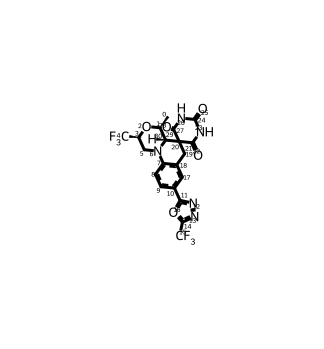 C[C@@H]1O[C@H](C(F)(F)F)CN2c3ccc(-c4nnc(C(F)(F)F)o4)cc3CC3(C(=O)NC(=O)NC3=O)[C@@H]12